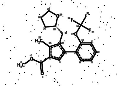 COC(=O)c1cc(-c2ccccc2OC(F)(F)F)n(C[C@@H]2CCCO2)c1C